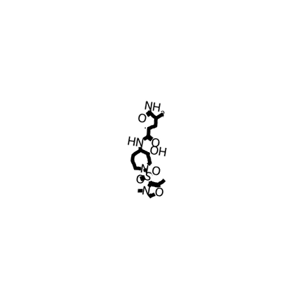 CC1=C(S(=O)(=O)N2CCCC(NC(=O)[CH]CC(C)C(N)=O)[C@@H](O)C2)N(C)CO1